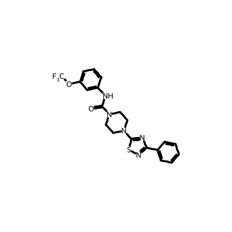 O=C(Nc1cccc(OC(F)(F)F)c1)N1CCN(c2nc(-c3ccccc3)ns2)CC1